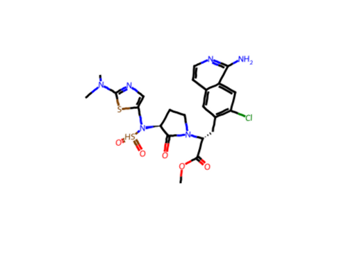 COC(=O)[C@@H](Cc1cc2ccnc(N)c2cc1Cl)N1CC[C@H](N(c2cnc(N(C)C)s2)[SH](=O)=O)C1=O